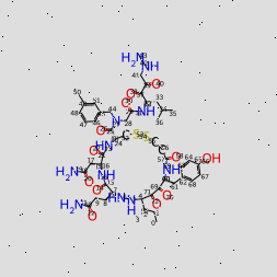 CC[C@H](C)C1NN[C@@H](CCC(N)=O)C(=O)N[C@@H](CC(N)=O)C(=O)N[C@H](C(=O)N(CC(=O)N[C@@H](CC(C)C)C(=O)C(=O)CNN)Cc2cccc(C)c2)CSSCCC(=O)N[C@@H](Cc2ccc(O)cc2)C(=O)C1=O